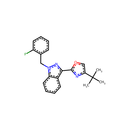 CC(C)(C)c1coc(-c2nn(Cc3ccccc3F)c3ccccc23)n1